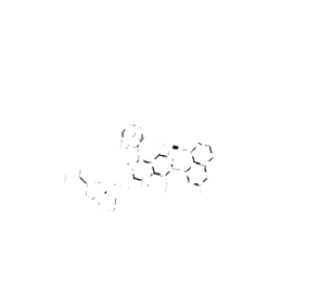 C#Cc1c(F)ccc2cc(O)cc(-c3ncc4c(N5CC6CCC5CN6)nc(OCC56CCCN5CC(=C(F)F)C6)nc4c3F)c12